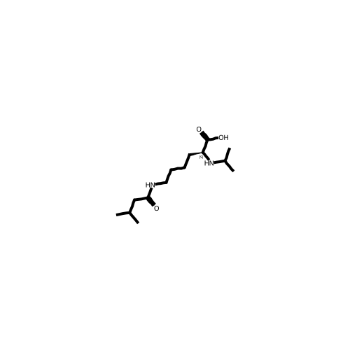 CC(C)CC(=O)NCCCC[C@H](NC(C)C)C(=O)O